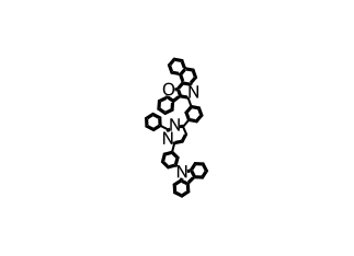 C1=CC(c2cccc(-c3nc4ccc5ccccc5c4c4oc5ccccc5c34)c2)=NC(c2ccccc2)=NC=1c1cccc(-n2c3ccccc3c3ccccc32)c1